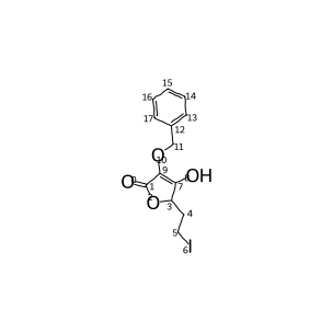 O=C1OC(CCI)C(O)=C1OCc1ccccc1